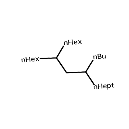 CCCCCCCC(CCCC)CC(CCCCCC)CCCCCC